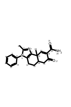 Cc1nc2c(n1-c1ccccc1)CCC1CC(=O)C(C(N)=O)=CC21C